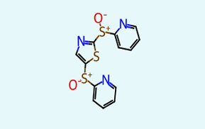 [O-][S+](c1ccccn1)c1cnc([S+]([O-])c2ccccn2)s1